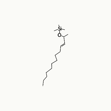 CCCCCCCCCC=CC(C)O[Si](C)(C)C